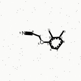 Cc1cccc(OCC#N)c1C